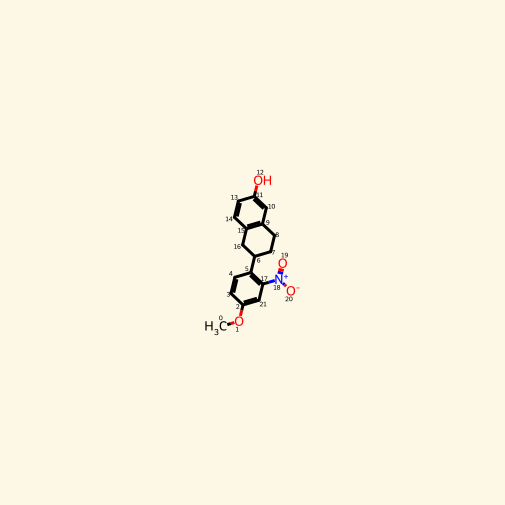 COc1ccc(C2CCc3cc(O)ccc3C2)c([N+](=O)[O-])c1